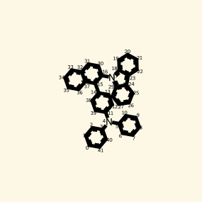 c1ccc(N(c2ccccc2)c2ccc(-c3c(-n4c5ccccc5c5ccccc54)ccc4ccccc34)cc2)cc1